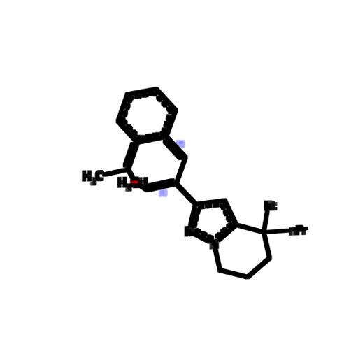 C/C=C(\C=c1\ccccc1=C(C)C)c1cc2n(n1)CCCC2(CC)CCC